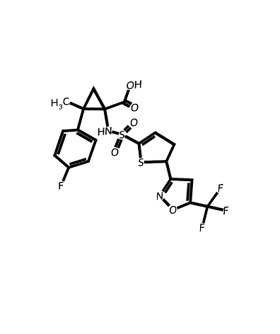 CC1(c2ccc(F)cc2)CC1(NS(=O)(=O)C1=CCC(c2cc(C(F)(F)F)on2)S1)C(=O)O